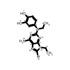 CCN(c1ccc(O)c(O)c1)c1nc(N)c2nc(Br)n(CC)c2n1